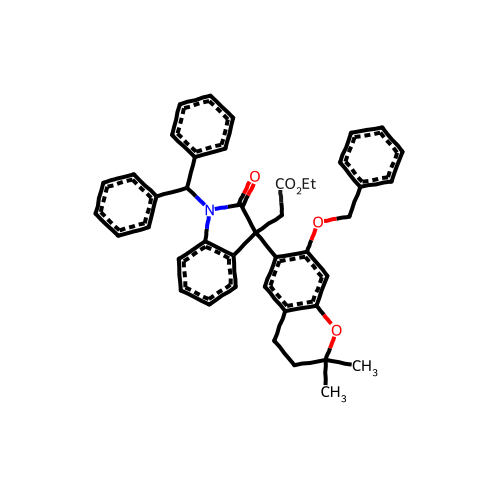 CCOC(=O)CC1(c2cc3c(cc2OCc2ccccc2)OC(C)(C)CC3)C(=O)N(C(c2ccccc2)c2ccccc2)c2ccccc21